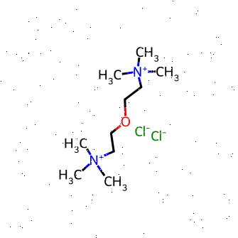 C[N+](C)(C)CCOCC[N+](C)(C)C.[Cl-].[Cl-]